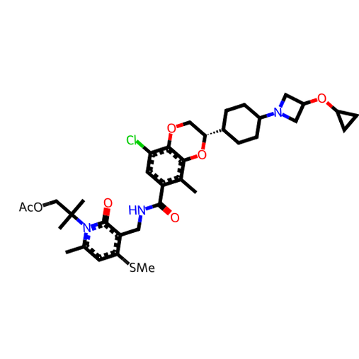 CSc1cc(C)n(C(C)(C)COC(C)=O)c(=O)c1CNC(=O)c1cc(Cl)c2c(c1C)O[C@@H](C1CCC(N3CC(OC4CC4)C3)CC1)CO2